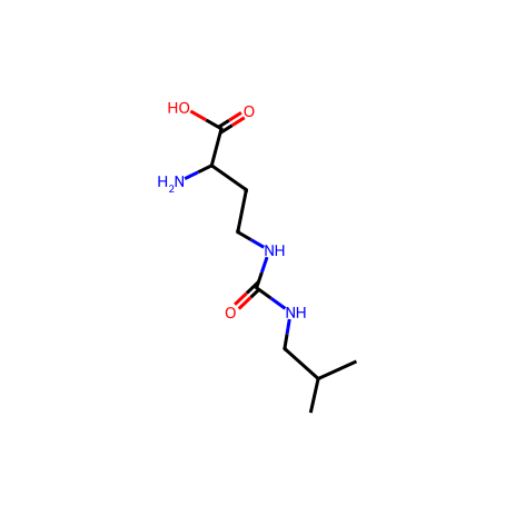 CC(C)CNC(=O)NCCC(N)C(=O)O